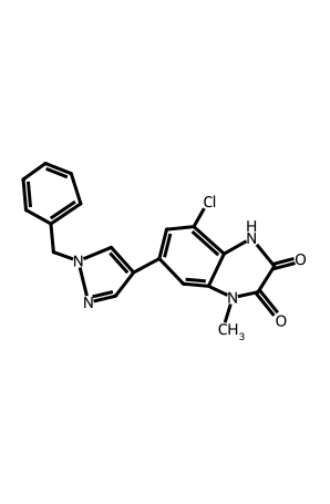 Cn1c(=O)c(=O)[nH]c2c(Cl)cc(-c3cnn(Cc4ccccc4)c3)cc21